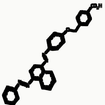 O=C(O)c1ccc(COc2ccc(N=Nc3ccc(N=Nc4ccccc4)c4ccccc34)cc2)cc1